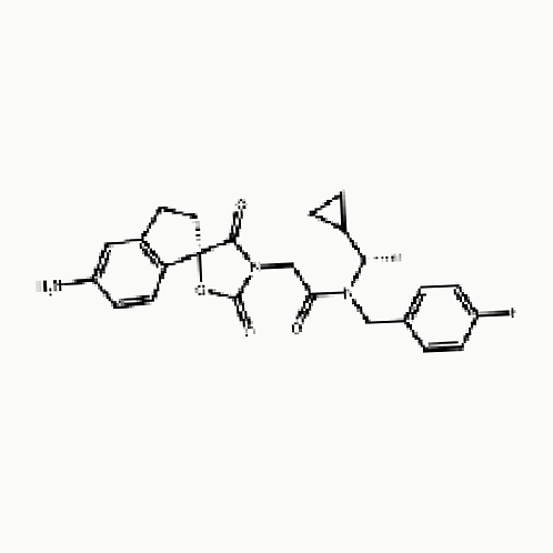 C[C@@H](C1CC1)N(Cc1ccc(F)cc1)C(=O)CN1C(=O)O[C@]2(CCc3cc(N)ccc32)C1=O